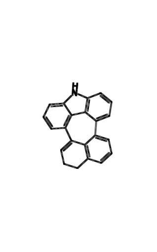 C1=C2c3c(cccc3-c3cccc4[nH]c5cccc2c5c34)CC1